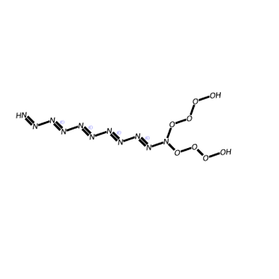 N=N/N=N/N=N/N=N/N=N/N(OOOO)OOOO